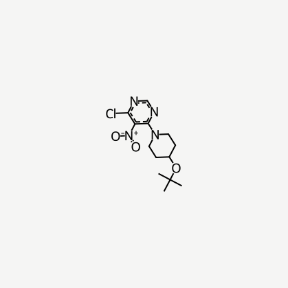 CC(C)(C)OC1CCN(c2ncnc(Cl)c2[N+](=O)[O-])CC1